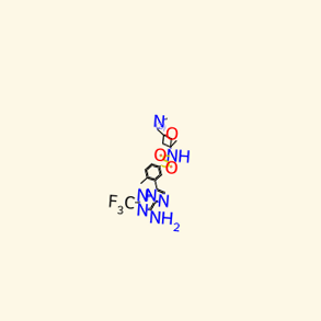 C/N=C\C12CC(NS(=O)(=O)c3ccc(C)c(-c4cnc5c(N)nc(C(F)(F)F)nn45)c3)(CO1)C2